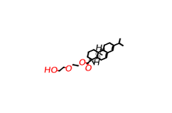 CC(C)C1=CC2=CC[C@@H]3[C@](C)(CCC[C@@]3(C)C(=O)OCCOCCO)[C@H]2CC1